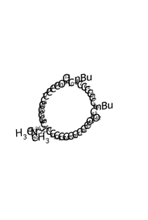 CCCCC1CCCCCCC(CCCC)CC(=O)OCCCCCCCCCCC(CCN(C)C)CCCCCCCCCCOC(=O)C1